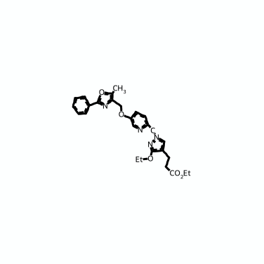 CCOC(=O)CCc1cn(Cc2ccc(OCc3nc(-c4ccccc4)oc3C)cn2)nc1OCC